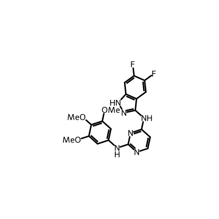 COc1cc(Nc2nccc(Nc3n[nH]c4cc(F)c(F)cc34)n2)cc(OC)c1OC